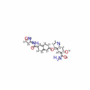 COc1cc2nccc(Oc3ccc4cc(C(=O)Nc5ccon5)ccc4c3)c2cc1C(N)=O